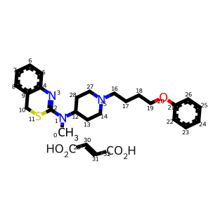 CN(C1=Nc2ccccc2CS1)C1CCN(CCCCOc2ccccc2)CC1.O=C(O)C=CC(=O)O